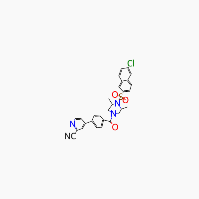 CC1CN(C(=O)c2ccc(-c3ccnc(C#N)c3)cc2)CC(C)N1S(=O)(=O)c1ccc2cc(Cl)ccc2c1